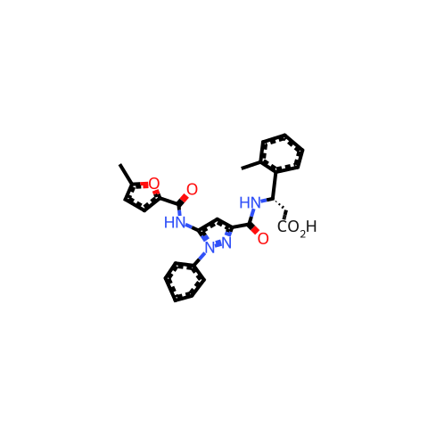 Cc1ccc(C(=O)Nc2cc(C(=O)N[C@@H](CC(=O)O)c3ccccc3C)nn2-c2ccccc2)o1